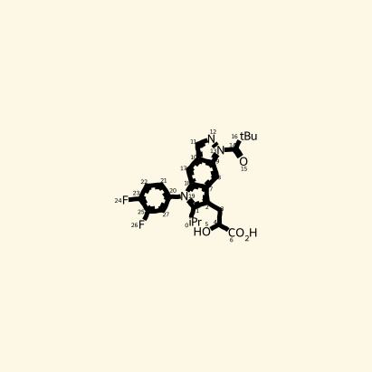 CC(C)c1c(CC(O)C(=O)O)c2cc3c(cnn3C(=O)C(C)(C)C)cc2n1-c1ccc(F)c(F)c1